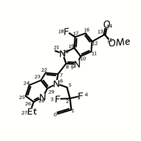 C=CC(F)(F)Cn1c(-c2nc3cc(C(=O)OC)cc(F)c3n2C)cc2ccc(CC)nc21